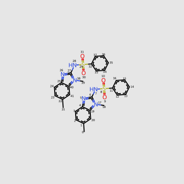 Cc1ccc2nc(NS(=O)(=O)c3ccccc3)n(C)c2c1.Cc1ccc2nc(NS(=O)(=O)c3ccccc3)n(C)c2c1